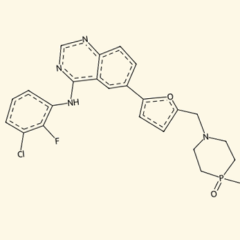 CP1(=O)CCN(Cc2ccc(-c3ccc4ncnc(Nc5cccc(Cl)c5F)c4c3)o2)CC1